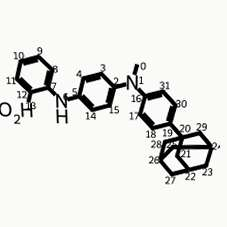 CN(c1ccc(Nc2ccccc2C(=O)O)cc1)c1ccc(C23CC4CC(CC(C4)C2)C3)cc1